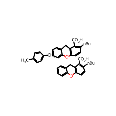 CCCCc1ccc2c(c1C(=O)O)Cc1ccccc1O2.CCCCc1ccc2c(c1C(=O)O)Cc1ccccc1O2.Cc1ccc(C)cc1